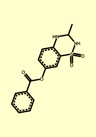 CC1Nc2ccc(OC(=O)c3ccccc3)cc2S(=O)(=O)N1